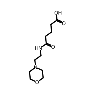 O=C(O)CCCC(=O)NCCN1CCOCC1